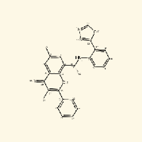 Cc1cc([C@@H](C)Nc2ccccc2-c2nnco2)c2oc(-c3ccccc3)c(C)c(=O)c2c1